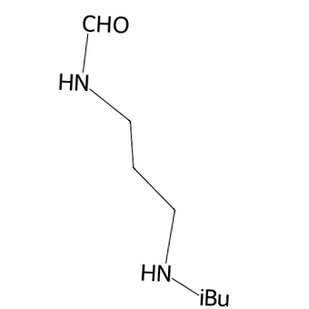 CCC(C)NCCCNC=O